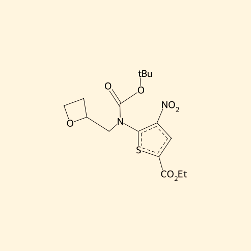 CCOC(=O)c1cc([N+](=O)[O-])c(N(CC2CCO2)C(=O)OC(C)(C)C)s1